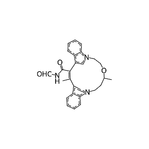 C/C1=C(\C(=O)NC=O)c2cn(c3ccccc23)CCOC(C)CCn2cc1c1ccccc12